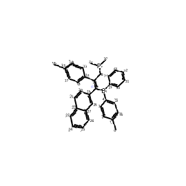 Cc1ccc(B(/C(=C(\CP(C)C)c2ccc(C)cc2)c2ccc3ccccc3c2)c2ccccc2)cc1